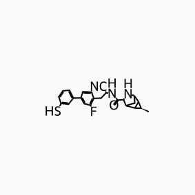 C[C@@H]1C2C3CC(C(C(=O)N[C@H](C#N)Cc4ccc(-c5cccc(S)c5)cc4F)N3)C21